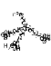 CCCOCCOCC(COCCOCCOP(C)(=O)O)(COCCOCCOP(=O)(O)O)COCCOCCOP(=O)(O)O